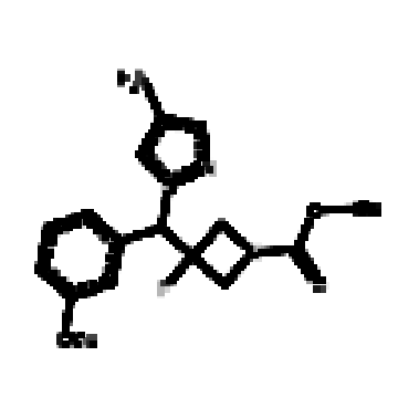 COc1cccc(C(n2cc(N)cn2)C2(F)CN(C(=O)OC(C)(C)C)C2)c1